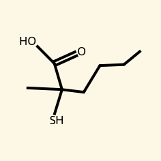 CCCCC(C)(S)C(=O)O